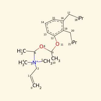 C=CC[N+](C)(C)C(C)OC(C)Oc1cccc(CC(C)C)c1CC(C)C